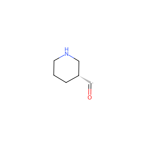 O=[C][C@@H]1CCCNC1